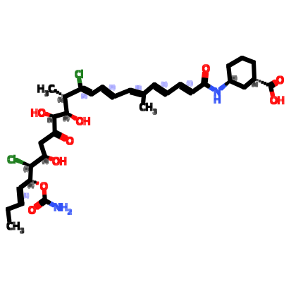 CC/C=C/[C@@H](OC(N)=O)[C@@H](Cl)[C@H](O)CC(=O)[C@@H](O)[C@H](O)[C@H](C)/C(Cl)=C/C=C/C=C(C)/C=C/C=C/C(=O)N[C@H]1CCC[C@H](C(=O)O)C1